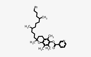 Cc1c(C)c2c(c(C)c1OC(=O)c1cccnc1)CCC(C)(CCCC(C)CCCC(C)CCCC(C)C)O2